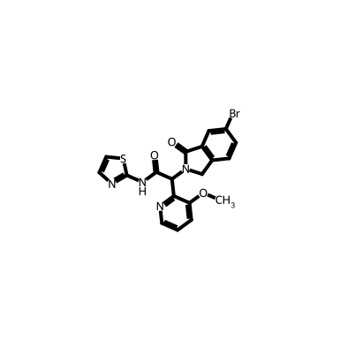 COc1cccnc1C(C(=O)Nc1nccs1)N1Cc2ccc(Br)cc2C1=O